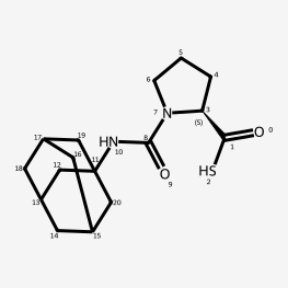 O=C(S)[C@@H]1CCCN1C(=O)NC12CC3CC(CC(C3)C1)C2